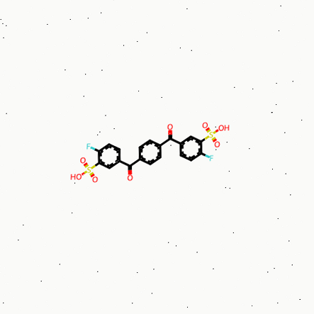 O=C(c1ccc(C(=O)c2ccc(F)c(S(=O)(=O)O)c2)cc1)c1ccc(F)c(S(=O)(=O)O)c1